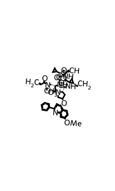 C#CCOC(=O)N[C@@H](CN(C)C(=O)C=C)C(=O)N1CC(Oc2cc(-c3ccccc3)nc3cc(OC)ccc23)C[C@H]1C(=O)N[C@]1(C(=O)NS(=O)(=O)C2CC2)C[C@H]1C=C